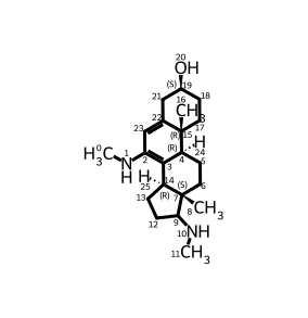 CNC1=C2[C@H](CC[C@]3(C)C(NC)CC[C@@H]23)[C@@]2(C)CC[C@H](O)CC2=C1